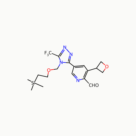 C[Si](C)(C)CCOCn1c(-c2cnc(C=O)c(C3COC3)c2)nnc1C(F)(F)F